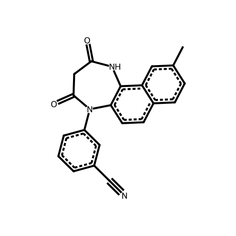 Cc1ccc2ccc3c(c2c1)NC(=O)CC(=O)N3c1cccc(C#N)c1